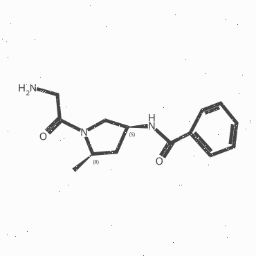 C[C@@H]1C[C@H](NC(=O)c2ccccc2)CN1C(=O)CN